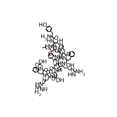 CC(C)C[C@H](NC(=O)[C@@H](NC(=O)[C@@H](N)Cc1ccc(O)cc1)C(C)C)C(=O)NCC(=O)N[C@@H](Cc1c[nH]cn1)C(=O)N[C@@H](Cc1ccccc1)C(=O)N[C@@H](CCCNC(=N)N)C(=O)N[C@@H](Cc1c[nH]c2ccccc12)C(=O)N[C@@H](CC(=O)O)C(=O)N[C@@H](CCCNC(=N)N)C(=O)N[C@@H](Cc1ccccc1)C(=O)NCC(=O)O